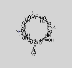 C/C=C/C[C@@H](C)[C@@H](O)[C@H]1C(=O)N[C@H](CC)C(=O)N(C)[C@H](COCCN2CCOCC2)C(=O)N(C)[C@@H](CC(C)(C)O)C(=O)N[C@H](C(C)C)C(=O)N(C)[C@H](CCC(C)C)C(=O)N[C@H](C)C(=O)N[C@@H](C)C(=O)N(C)[C@@H](CC(C)C)C(=O)N(C)[C@H](CC(C)C)C(=O)N(C)[C@H](C(C)C)C(=O)N1C